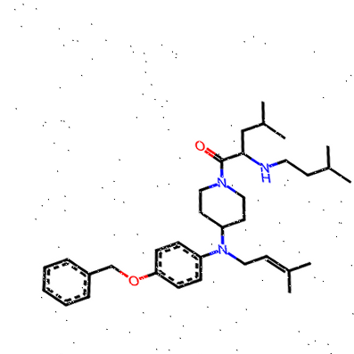 CC(C)=CCN(c1ccc(OCc2ccccc2)cc1)C1CCN(C(=O)C(CC(C)C)NCCC(C)C)CC1